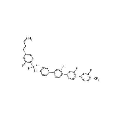 C=CCCc1ccc(C(F)(F)Oc2ccc(-c3ccc(-c4ccc(-c5ccc(C(F)(F)F)c(F)c5)c(F)c4)c(F)c3)cc2)c(F)c1